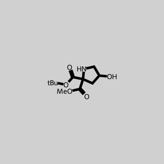 COC(=O)C1(C(=O)OC(C)(C)C)CC(O)CN1